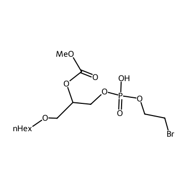 CCCCCCOCC(COP(=O)(O)OCCBr)OC(=O)OC